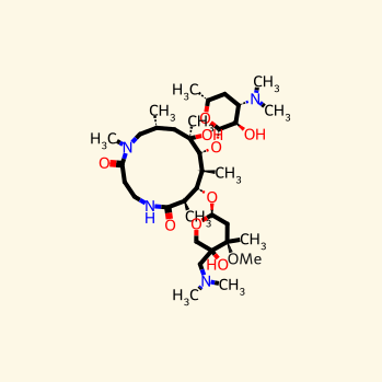 CO[C@]1(C)C[C@H](O[C@H]2[C@H](C)[C@@H](O[C@@H]3O[C@H](C)C[C@H](N(C)C)[C@H]3O)[C@](C)(O)C[C@@H](C)CN(C)C(=O)CCNC(=O)[C@@H]2C)OCC1(O)CN(C)C